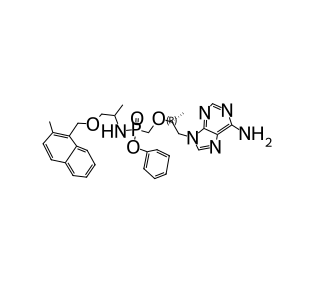 Cc1ccc2ccccc2c1COCC(C)NP(=O)(CO[C@H](C)Cn1cnc2c(N)ncnc21)Oc1ccccc1